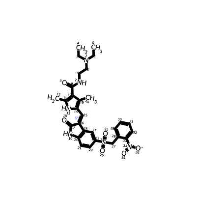 CCN(CC)CCNC(=O)c1c(C)[nH]c(/C=C2\C(=O)Nc3ccc(S(=O)(=O)Cc4ccccc4[N+](=O)[O-])cc32)c1C